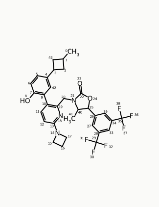 CC1CC(c2ccc(O)c(-c3ccc(N4CCC4)nc3CN3C(=O)OC(c4cc(C(F)(F)F)cc(C(F)(F)F)c4)C3C)c2)C1